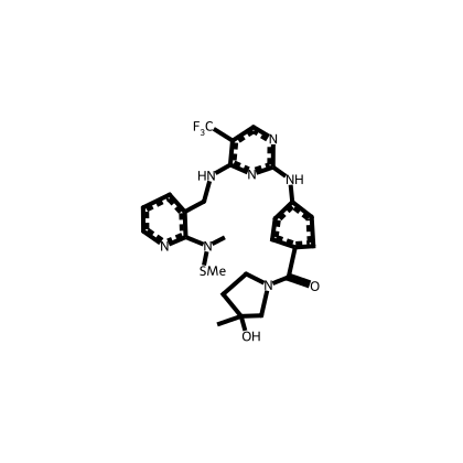 CSN(C)c1ncccc1CNc1nc(Nc2ccc(C(=O)N3CCC(C)(O)C3)cc2)ncc1C(F)(F)F